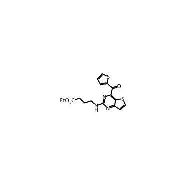 CCOC(=O)CCCNc1nc(C(=O)c2cccs2)c2sccc2n1